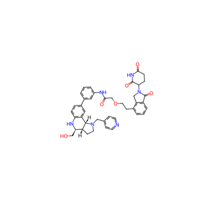 O=C1CCC(N2Cc3c(CCOCC(=O)Nc4cccc(-c5ccc6c(c5)[C@H]5[C@H](CCN5Cc5ccncc5)[C@@H](CO)N6)c4)cccc3C2=O)C(=O)N1